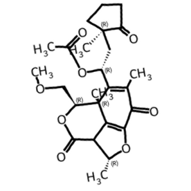 COC[C@@H]1OC(=O)C2C3=C(O[C@@H]2C)C(=O)C(C)=C([C@@H](C[C@@]2(C)CCCC2=O)OC(C)=O)[C@]31C